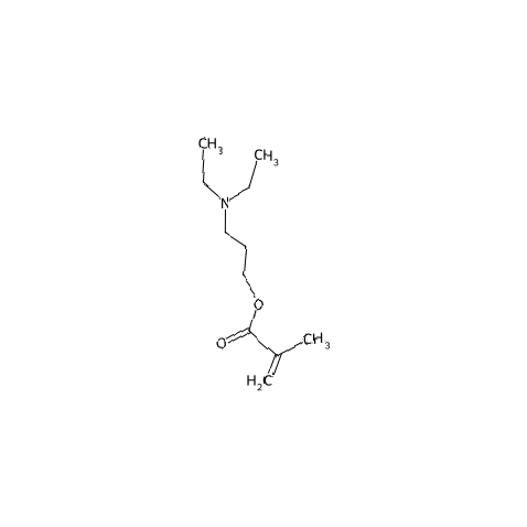 C=C(C)C(=O)OCCCN(CC)CC